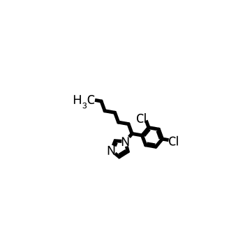 CCCCCCC(c1ccc(Cl)cc1Cl)n1ccnc1